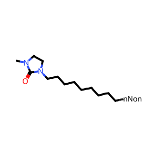 CCCCCCCCCCCCCCCCCCN1CCN(C)C1=O